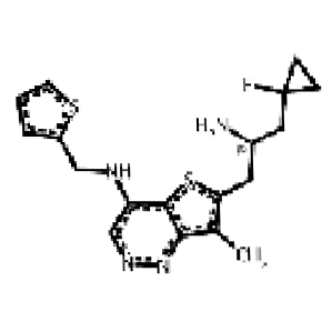 Cc1c(C[C@@H](N)CC2(F)CC2)sc2c(NCc3cccs3)cnnc12